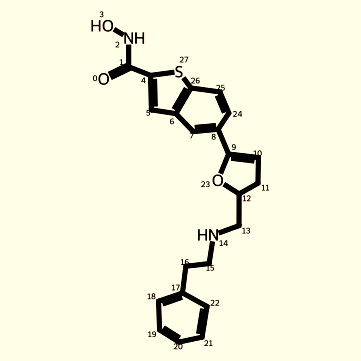 O=C(NO)c1cc2cc(C3=CCC(CNCCc4ccccc4)O3)ccc2s1